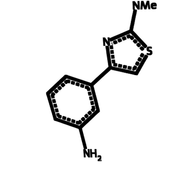 CNc1nc(-c2cccc(N)c2)cs1